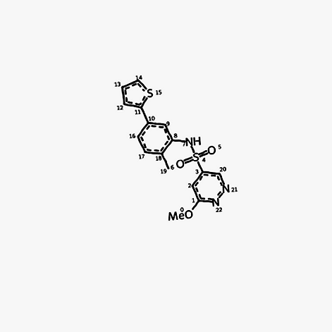 COc1cc(S(=O)(=O)Nc2cc(-c3cccs3)ccc2C)cnn1